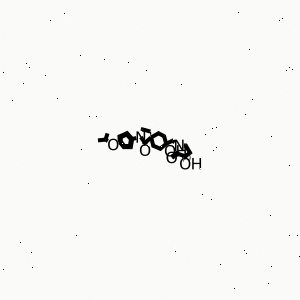 CC(C)Oc1ccc(N2CC[C@]3(CC[C@@](O)(CN4CC[C@@H](O)C4=O)CC3)C2=O)cc1